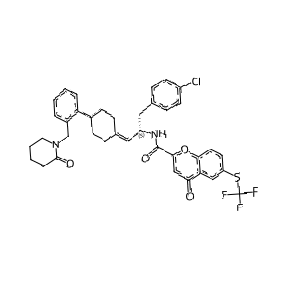 O=C(N[C@H](C=C1CCC(c2ccccc2CN2CCCCC2=O)CC1)Cc1ccc(Cl)cc1)c1cc(=O)c2cc(SC(F)(F)F)ccc2o1